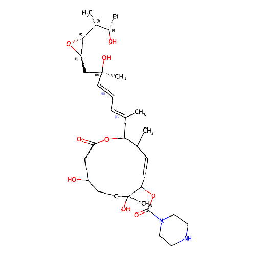 CC[C@H](O)[C@@H](C)[C@H]1O[C@@H]1C[C@@](C)(O)/C=C/C=C(\C)C1OC(=O)CC(O)CCC(C)(O)C(OC(=O)N2CCNCC2)C=CC1C